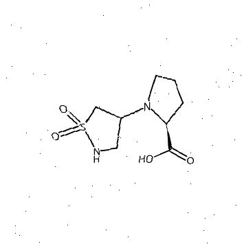 O=C(O)[C@@H]1CCCN1C1CNS(=O)(=O)C1